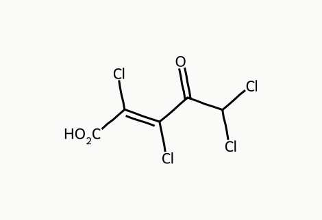 O=C(O)C(Cl)=C(Cl)C(=O)C(Cl)Cl